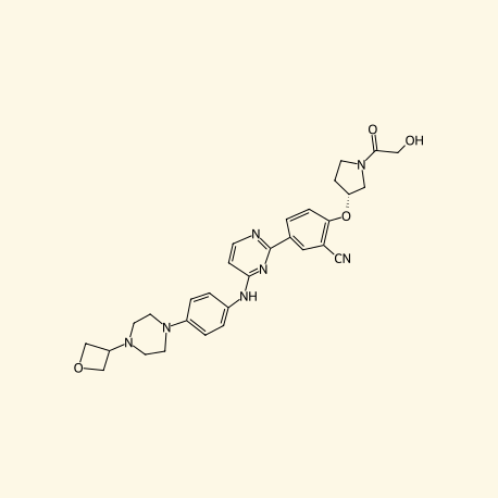 N#Cc1cc(-c2nccc(Nc3ccc(N4CCN(C5COC5)CC4)cc3)n2)ccc1O[C@@H]1CCN(C(=O)CO)C1